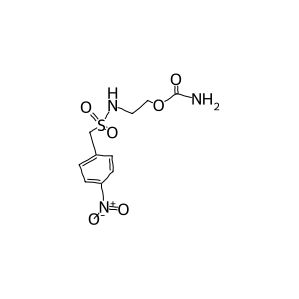 NC(=O)OCCNS(=O)(=O)Cc1ccc([N+](=O)[O-])cc1